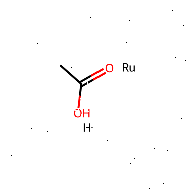 CC(=O)O.[H].[Ru]